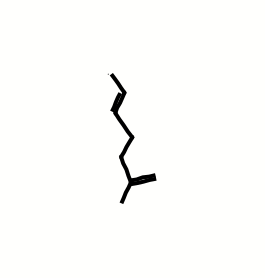 [CH2]C=CCCC(=C)C